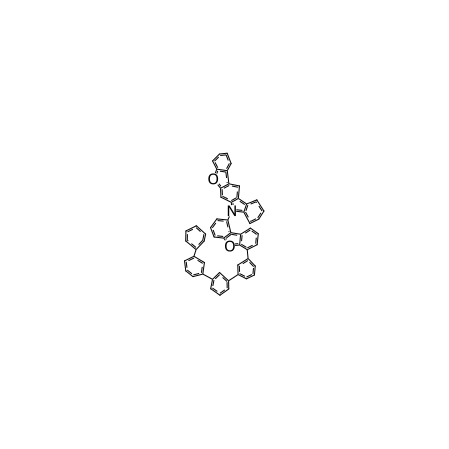 c1ccc(-c2cccc(-c3cccc(-c4cccc(-c5cccc6c5oc5cccc(-n7c8ccccc8c8cc9c(cc87)oc7ccccc79)c56)c4)c3)c2)cc1